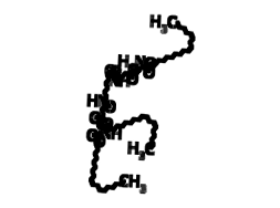 CCCCC/C=C\C/C=C\CCCCCCCCOC(=O)[C@H](COC(=O)CCC(=O)NCCCCC(C=O)NC(=O)CCC(=O)OC[C@H](N)C(=O)OCCCCCCCC/C=C\C/C=C\CCCCC)NC(=O)CCCCCCC/C=C\C/C=C\CCCCC